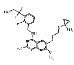 COc1cc2nc(C)nc(NCc3cccc(C(F)(F)CO)c3F)c2cc1OCCOC1(C)CC1